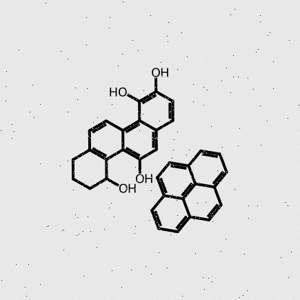 Oc1ccc2cc(O)c3c4c(ccc3c2c1O)CCCC4O.c1cc2ccc3cccc4ccc(c1)c2c34